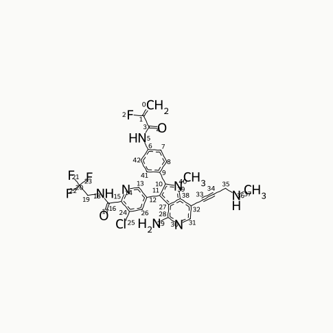 C=C(F)C(=O)Nc1ccc(-c2c(-c3cnc(C(=O)NCC(F)(F)F)c(Cl)c3)c3c(N)ncc(C#CCNC)c3n2C)cc1